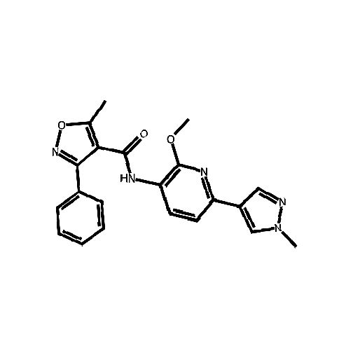 COc1nc(-c2cnn(C)c2)ccc1NC(=O)c1c(-c2ccccc2)noc1C